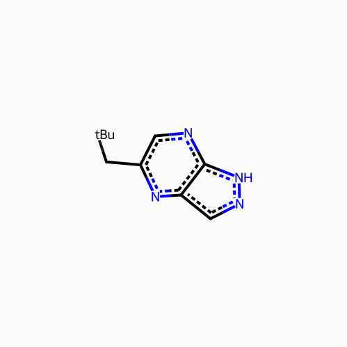 CC(C)(C)Cc1cnc2[nH]ncc2n1